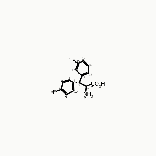 N[C@H](C(=O)O)[C@H](c1ccc(F)cc1)c1cccc(F)c1